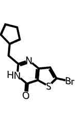 O=c1[nH]c(CC2CCCC2)nc2cc(Br)sc12